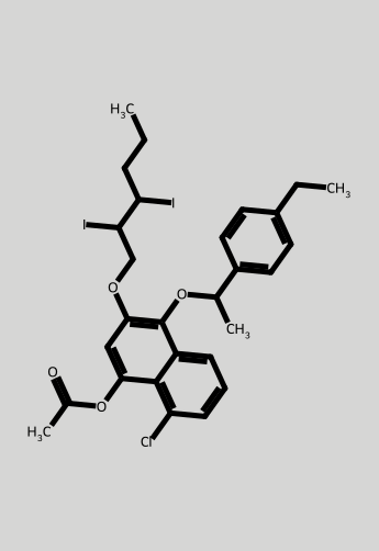 CCCC(I)C(I)COc1cc(OC(C)=O)c2c(Cl)cccc2c1OC(C)c1ccc(CC)cc1